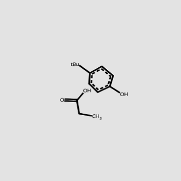 CC(C)(C)c1ccc(O)cc1.CCC(=O)O